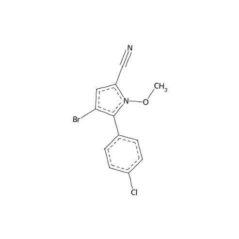 COn1c(C#N)cc(Br)c1-c1ccc(Cl)cc1